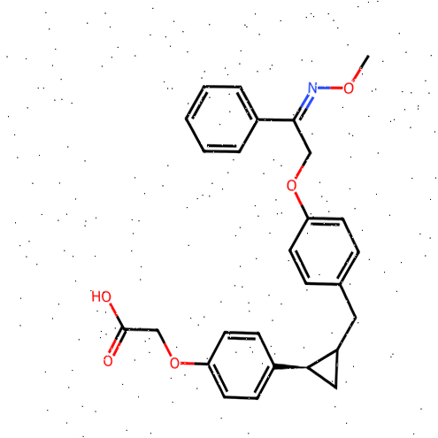 CO/N=C(\COc1ccc(CC2C[C@H]2c2ccc(OCC(=O)O)cc2)cc1)c1ccccc1